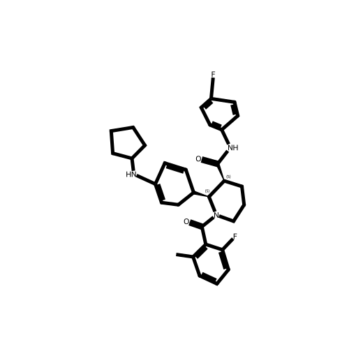 Cc1cccc(F)c1C(=O)N1CCC[C@H](C(=O)Nc2ccc(F)cc2)[C@@H]1C1C=CC(NC2CCCC2)=CC1